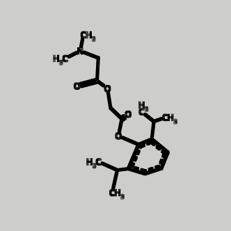 CC(C)c1cccc(C(C)C)c1OC(=O)COC(=O)CN(C)C